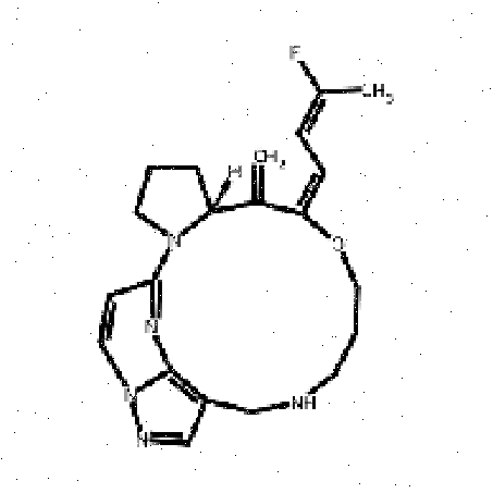 C=C1/C(=C\C=C(/C)F)OCCCNCc2cnn3ccc(nc23)N2CCC[C@H]12